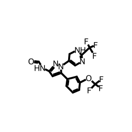 O=CNc1cc(-c2cccc(OC(F)(F)F)c2)n(C2=CN=C(C(F)(F)F)NC2)n1